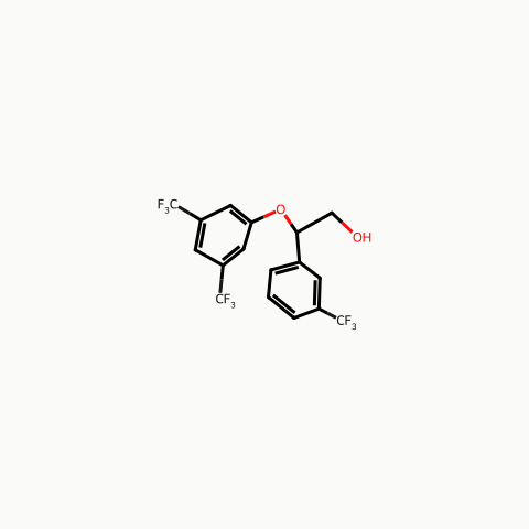 OCC(Oc1cc(C(F)(F)F)cc(C(F)(F)F)c1)c1cccc(C(F)(F)F)c1